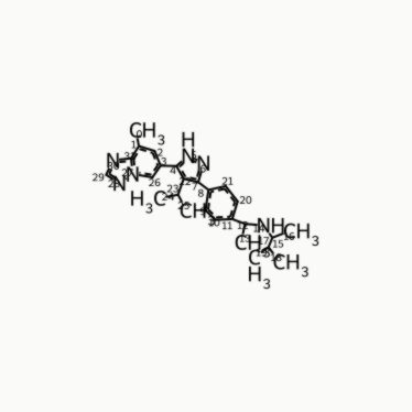 Cc1cc(-c2[nH]nc(-c3ccc(C(C)NC(C)C(C)C)cc3)c2C(C)C)cn2ncnc12